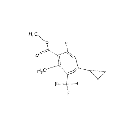 COC(=O)c1c(F)cc(C2CC2)c(C(F)(F)F)c1C